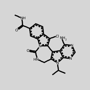 CNC(=O)c1ccc2c(Cl)c3n(c2c1)C(=O)NCc1c-3c2c(N)ncnc2n1C(C)C